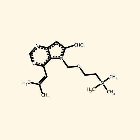 CC(C)=Cc1ncnc2cc(C=O)n(COCC[Si](C)(C)C)c12